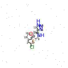 Clc1cc2c(s1)[C@@]1(CCN[C@H](c3c[nH]nn3)C1)OCC2